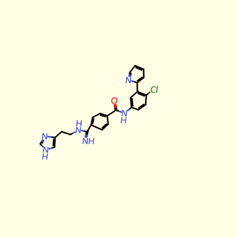 N=C(NCCc1c[nH]cn1)c1ccc(C(=O)Nc2ccc(Cl)c(-c3ccccn3)c2)cc1